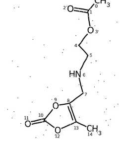 CC(=O)OCCNCc1oc(=O)oc1C